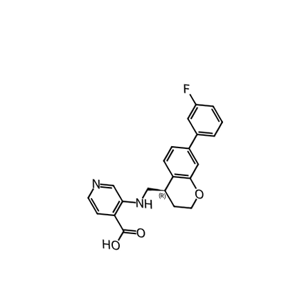 O=C(O)c1ccncc1NC[C@@H]1CCOc2cc(-c3cccc(F)c3)ccc21